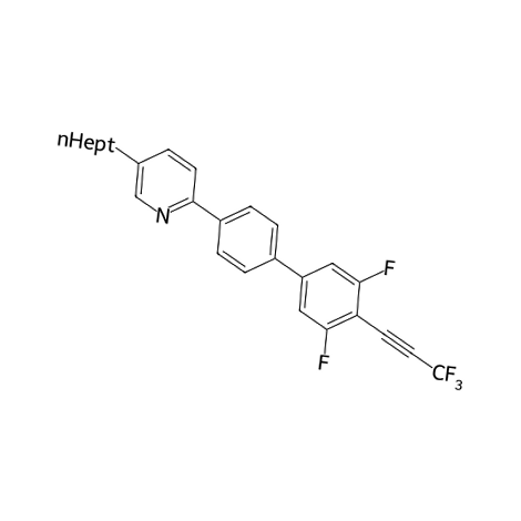 CCCCCCCc1ccc(-c2ccc(-c3cc(F)c(C#CC(F)(F)F)c(F)c3)cc2)nc1